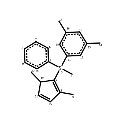 CC1=C([Si](C)(c2ccccc2)c2cc(C)cc(C)c2)C(C)C=C1